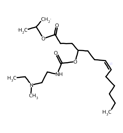 [CH2]C([CH2])OC(=O)CCC(CC/C=C\CCCCC)OC(=O)NCCN(C)CC